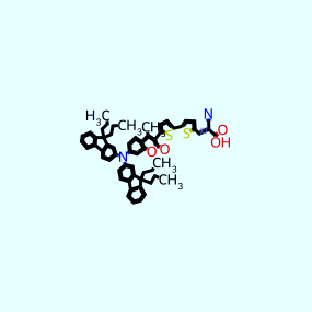 CCCC1(CCC)c2ccccc2-c2ccc(N(c3ccc4c(c3)C(CCC)(CCC)c3ccccc3-4)c3ccc4c(C)c(-c5ccc(-c6ccc(/C=C(\C#N)C(=O)O)s6)s5)c(=O)oc4c3)cc21